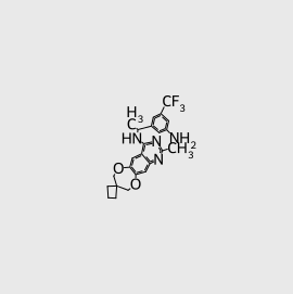 Cc1nc(NC(C)c2cc(N)cc(C(F)(F)F)c2)c2cc3c(cc2n1)OCC1(CCC1)CO3